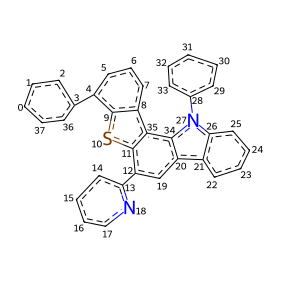 c1ccc(-c2cccc3c2sc2c(-c4ccccn4)cc4c5ccccc5n(-c5ccccc5)c4c23)cc1